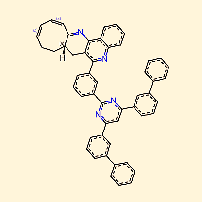 C1=C\CC[C@H]2Cc3c(-c4cccc(-c5nc(-c6cccc(-c7ccccc7)c6)cc(-c6cccc(-c7ccccc7)c6)n5)c4)nc4ccccc4c3N=C2\C=C/1